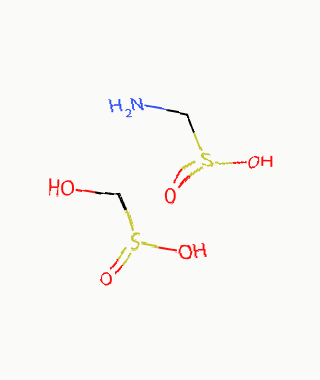 NCS(=O)O.O=S(O)CO